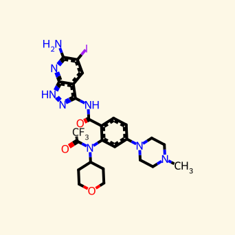 CN1CCN(c2ccc(C(=O)Nc3n[nH]c4nc(N)c(I)cc34)c(N(C(=O)C(F)(F)F)C3CCOCC3)c2)CC1